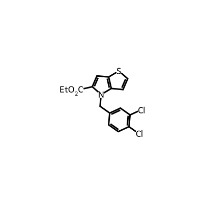 CCOC(=O)c1cc2sccc2n1Cc1ccc(Cl)c(Cl)c1